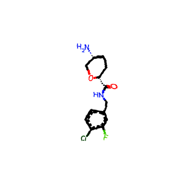 N[C@@H]1CC[C@H](C(=O)NCc2ccc(Cl)c(F)c2)OC1